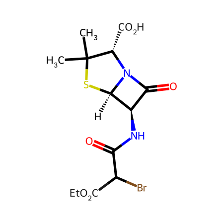 CCOC(=O)C(Br)C(=O)N[C@@H]1C(=O)N2[C@@H]1SC(C)(C)[C@@H]2C(=O)O